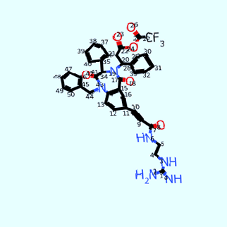 N=C(N)NCCNC(=O)C#Cc1ccc2c(c1)C(=O)N(C(CC(=O)OC(=O)C(F)(F)F)c1ccccc1)C(c1ccccc1)C(=O)N2Cc1ccccc1